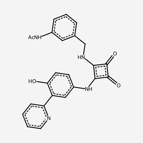 CC(=O)Nc1cccc(CNc2c(Nc3ccc(O)c(-c4ccccn4)c3)c(=O)c2=O)c1